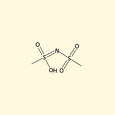 CS(=O)(=O)N=S(C)(=O)O